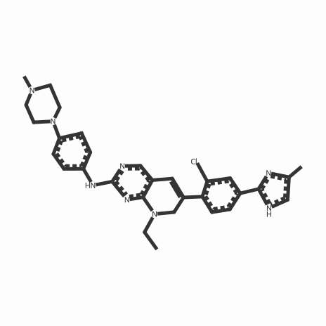 CCN1CC(c2ccc(-c3nc(C)c[nH]3)cc2Cl)=Cc2cnc(Nc3ccc(N4CCN(C)CC4)cc3)nc21